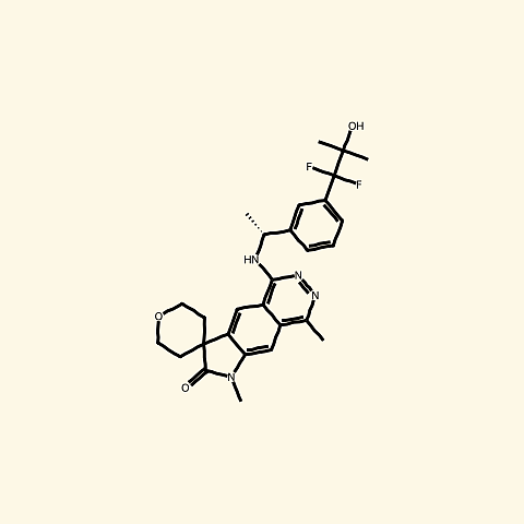 Cc1nnc(N[C@H](C)c2cccc(C(F)(F)C(C)(C)O)c2)c2cc3c(cc12)N(C)C(=O)C31CCOCC1